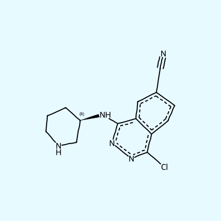 N#Cc1ccc2c(Cl)nnc(N[C@@H]3CCCNC3)c2c1